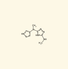 CNc1nnc(N(C)c2cc[nH]c2)[nH]1